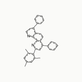 Cc1cc(C)c(-c2cc(-c3ccccc3)c3ccc4c(-c5ccccc5)ccnc4c3n2)c(C)c1